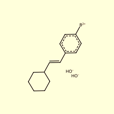 [B+2]c1ccc(C=CC2CCCCC2)cc1.[OH-].[OH-]